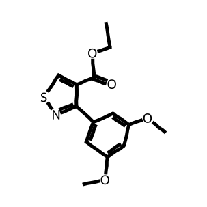 CCOC(=O)c1csnc1-c1cc(OC)cc(OC)c1